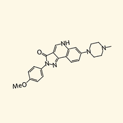 COc1ccc(-n2nc3c4ccc(N5CCN(C)CC5)cc4[nH]cc-3c2=O)cc1